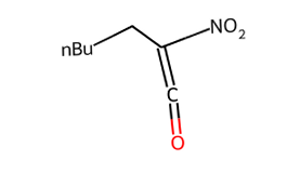 CCCCCC(=C=O)[N+](=O)[O-]